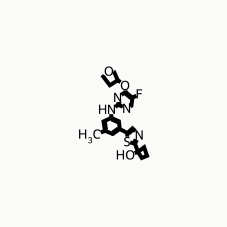 Cc1cc(Nc2ncc(F)c(OC3CCOC3)n2)cc(-c2cnc(C3(O)CCC3)s2)c1